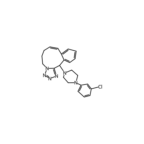 Clc1cccc(N2CCN(C3c4ccccc4/C=C\CCCn4nnnc43)CC2)c1